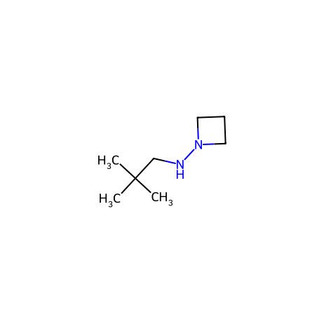 CC(C)(C)CNN1CCC1